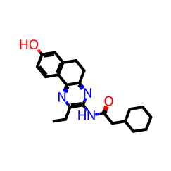 CCc1nc2c(nc1NC(=O)CC1CCCCC1)CCc1cc(O)ccc1-2